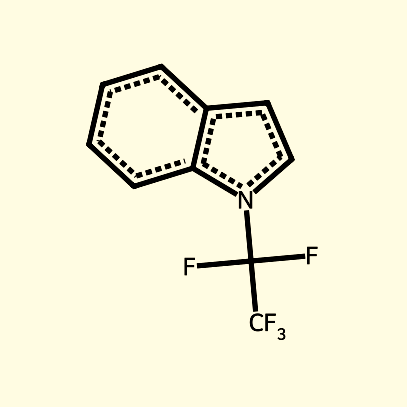 FC(F)(F)C(F)(F)n1ccc2ccccc21